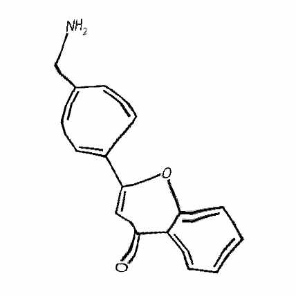 NCc1ccc(-c2cc(=O)c3ccccc3o2)cc1